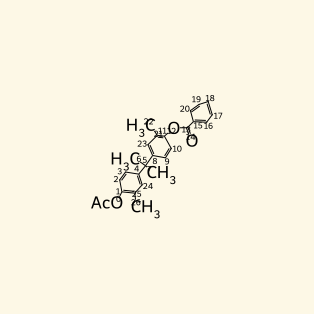 CC(=O)Oc1ccc(C(C)(C)c2ccc(OC(=O)c3ccccc3)c(C)c2)cc1C